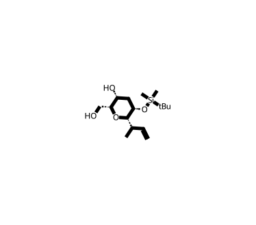 C=CC(C)[C@@H]1O[C@H](CO)[C@H](O)C[C@@H]1O[Si](C)(C)C(C)(C)C